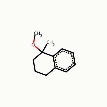 COC1(C)CCCc2ccccc21